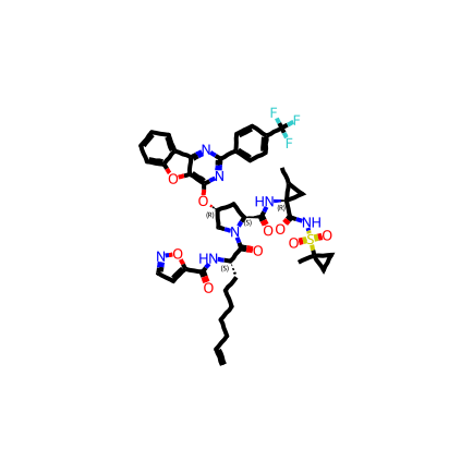 C=CCCCCC[C@H](NC(=O)c1ccno1)C(=O)N1C[C@H](Oc2nc(-c3ccc(C(F)(F)F)cc3)nc3c2oc2ccccc23)C[C@H]1C(=O)N[C@]1(C(=O)NS(=O)(=O)C2(C)CC2)CC1C